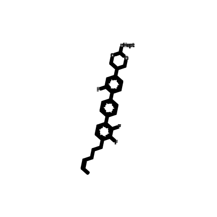 C/C=C\CCCc1ccc(-c2ccc(-c3ccc(C4COC(CCCCCCC)OC4)cc3F)cc2)c(F)c1F